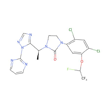 C[C@@H](c1ncnn1-c1ncccn1)N1CCN(c2cc(OC(F)C(F)(F)F)c(Cl)cc2Cl)C1=O